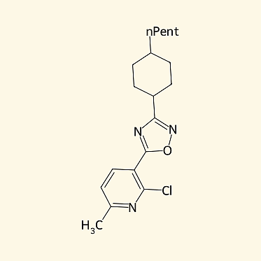 CCCCCC1CCC(c2noc(-c3ccc(C)nc3Cl)n2)CC1